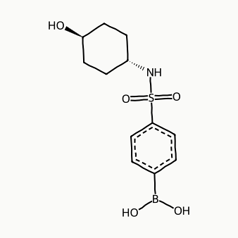 O=S(=O)(N[C@H]1CC[C@H](O)CC1)c1ccc(B(O)O)cc1